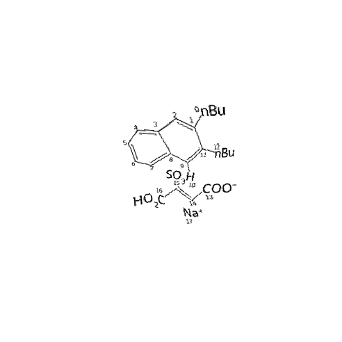 CCCCc1cc2ccccc2c(S(=O)(=O)O)c1CCCC.O=C([O-])/C=C/C(=O)O.[Na+]